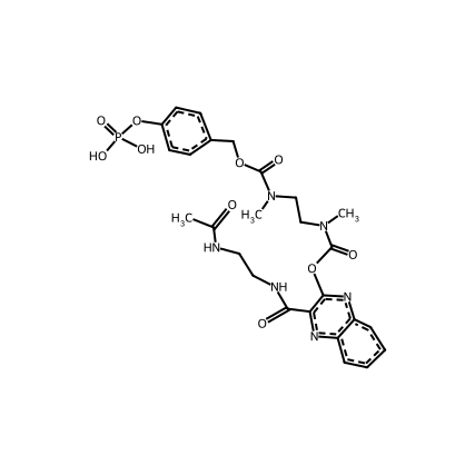 CC(=O)NCCNC(=O)c1nc2ccccc2nc1OC(=O)N(C)CCN(C)C(=O)OCc1ccc(OP(=O)(O)O)cc1